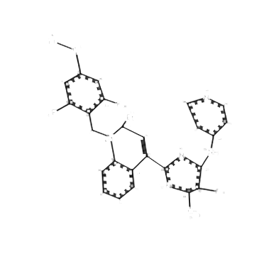 CCOc1cc(F)c(CN2c3ccccc3C(c3nc(C)c(F)c(Nc4ccncc4)n3)=CC2CC)c(F)c1